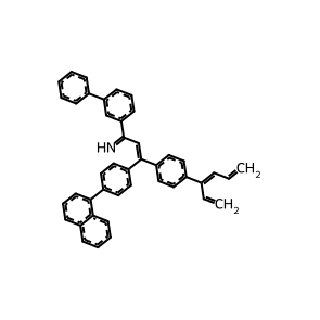 C=C/C=C(\C=C)c1ccc(/C(=C/C(=N)c2cccc(-c3ccccc3)c2)c2ccc(-c3cccc4ccccc34)cc2)cc1